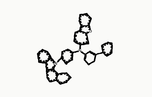 C1=C(c2ccccc2)CCC=C1N(c1ccc(-n2c3ccccc3c3ccc4ccccc4c32)cc1)c1ccc2c(c1)oc1ccccc12